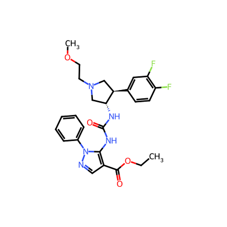 CCOC(=O)c1cnn(-c2ccccc2)c1NC(=O)N[C@@H]1CN(CCOC)C[C@H]1c1ccc(F)c(F)c1